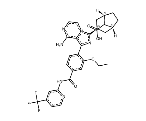 CCOc1cc(C(=O)Nc2cc(C(F)(F)F)ccn2)ccc1-c1nc([C@@H]2C[C@H]3CC[C@@H](C2)C3C(=O)O)n2ccnc(N)c12